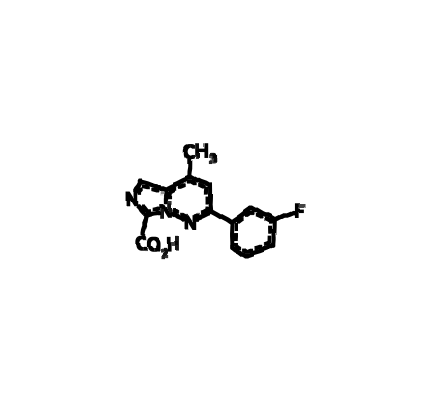 Cc1cc(-c2cccc(F)c2)nn2c(C(=O)O)ncc12